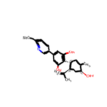 C=C(C)[C@@H]1C[C@H](O)C(C)=C[C@H]1c1c(O)cc(-c2ccc(OC)nc2)cc1O